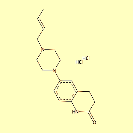 C/C=C/CN1CCN(c2ccc3c(c2)CCC(=O)N3)CC1.Cl.Cl